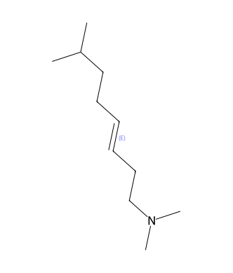 CC(C)CC/C=C/CCN(C)C